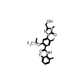 Cc1cccc(F)c1NC(=O)c1cc(F)c(-n2nc(CO)n(C)c2=O)cc1O[C@@H](C)C(F)(F)F